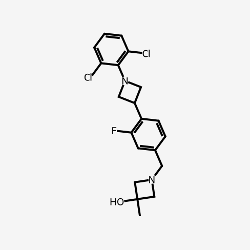 CC1(O)CN(Cc2ccc(C3CN(c4c(Cl)cccc4Cl)C3)c(F)c2)C1